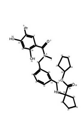 CC(C)c1cc(C(=O)N(C)Cc2cccc(CNC3(C(=O)OC4CCCC4)CCCC3)c2)c(O)cc1O